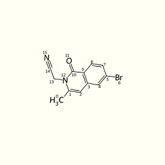 Cc1cc2cc(Br)ccc2c(=O)n1CC#N